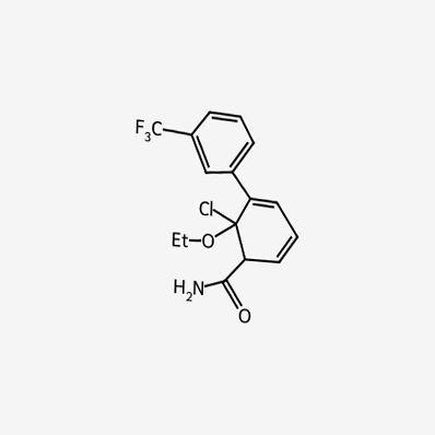 CCOC1(Cl)C(c2cccc(C(F)(F)F)c2)=CC=CC1C(N)=O